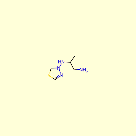 CC(CN)NN1CSC=N1